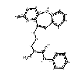 CN(CCSC1=Cc2ccccc2Oc2ccc(Cl)cc21)C(=O)Oc1ccccc1